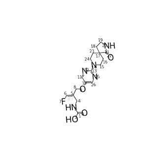 O=C(O)NC/C(=C\F)COc1cnc(N2CCC3(CCNC3=O)CC2)nc1